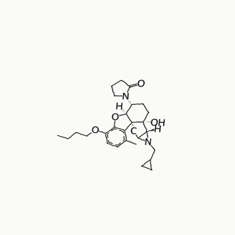 CCCCOc1ccc(C)c2c1O[C@H]1[C@H](N3CCCC3=O)CC[C@@]3(O)[C@H]4C(C[C@]213)N4CC1CC1